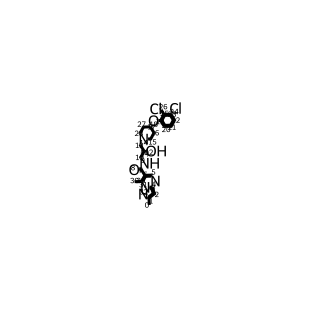 Cc1cc2ncc(C(=O)NC[C@@H](O)CN3CCC(Oc4cccc(Cl)c4Cl)CC3)c(C)n2n1